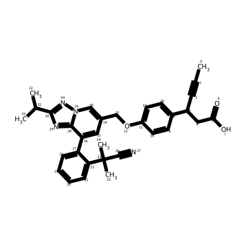 CC#CC(CC(=O)O)c1ccc(OCc2cc(-c3ccccc3C(C)(C)C#N)c3nc(C(C)C)nn3c2)cc1